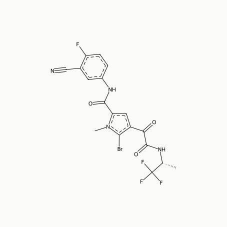 C[C@@H](NC(=O)C(=O)c1cc(C(=O)Nc2ccc(F)c(C#N)c2)n(C)c1Br)C(F)(F)F